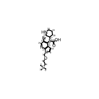 C[Si](C)(C)CCOCn1ccc2c(N(C(=O)O)C3CCCNC3)c(Br)cnc21